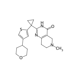 CN1CCc2nc(C3(c4cc(C5CCOCC5)cs4)CC3)[nH]c(=O)c2C1